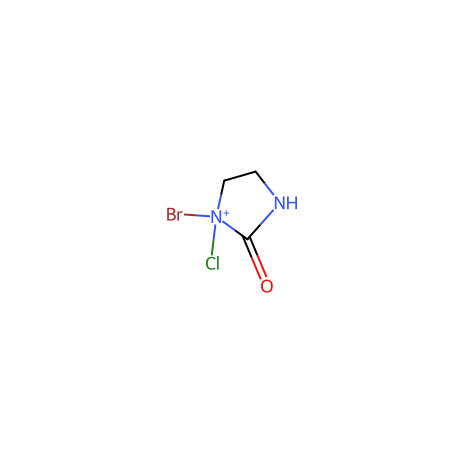 O=C1NCC[N+]1(Cl)Br